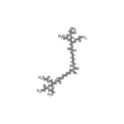 C=CC(=O)OC/C(=C\OC(=O)NCCCCCCNC(=O)N(CCCCCCNC(=O)O/C=C(\COC(=O)C=C)C(COC(=O)C=C)OC(=O)C=C)C(C)=O)C(COC(=O)C=C)OC(=O)C=C